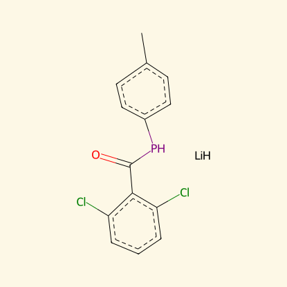 Cc1ccc(PC(=O)c2c(Cl)cccc2Cl)cc1.[LiH]